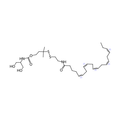 CC/C=C\C/C=C\C/C=C\C/C=C\C/C=C\CCCC(=O)NCCSSC(C)(C)CCOC(=O)NC(CO)CO